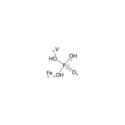 O=P(O)(O)O.[Fe].[V]